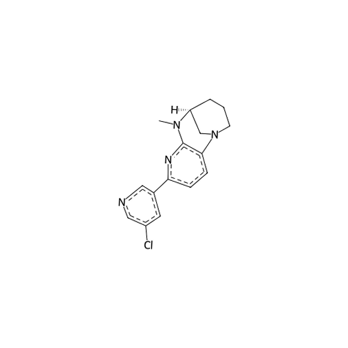 CN1c2nc(-c3cncc(Cl)c3)ccc2N2CCC[C@H]1C2